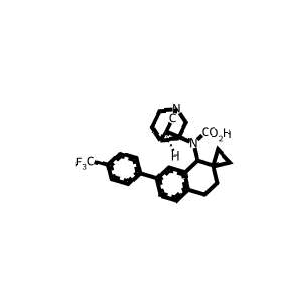 O=C(O)N(C1c2cc(-c3ccc(C(F)(F)F)cc3)ccc2CCC12CC2)[C@@H]1CN2CCC1CC2